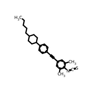 CCCCCC1CCC(c2ccc(C#Cc3cc(C)c(N=C=S)c(C)c3)cc2)CC1